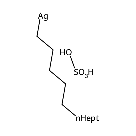 CCCCCCCCCCC[CH2][Ag].O=S(=O)(O)O